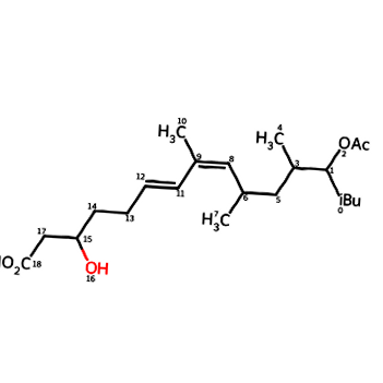 CCC(C)C(OC(C)=O)C(C)CC(C)C=C(C)C=CCCC(O)CC(=O)O